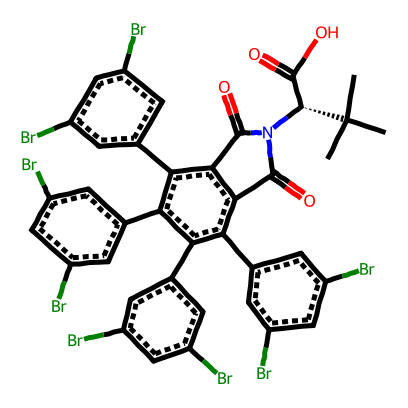 CC(C)(C)[C@@H](C(=O)O)N1C(=O)c2c(c(-c3cc(Br)cc(Br)c3)c(-c3cc(Br)cc(Br)c3)c(-c3cc(Br)cc(Br)c3)c2-c2cc(Br)cc(Br)c2)C1=O